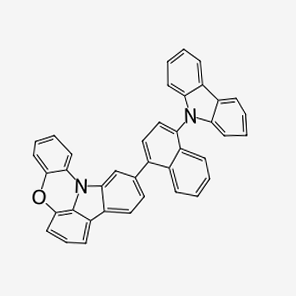 c1ccc2c(c1)Oc1cccc3c4ccc(-c5ccc(-n6c7ccccc7c7ccccc76)c6ccccc56)cc4n-2c13